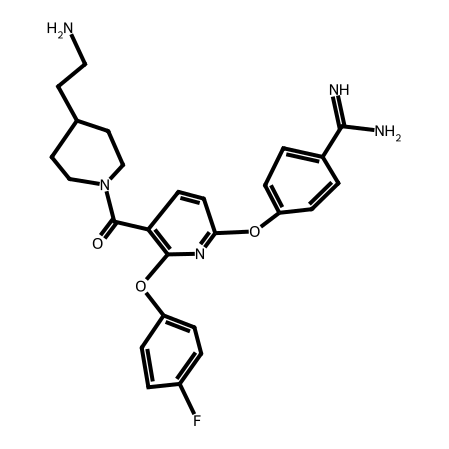 N=C(N)c1ccc(Oc2ccc(C(=O)N3CCC(CCN)CC3)c(Oc3ccc(F)cc3)n2)cc1